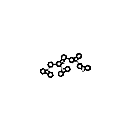 c1cc(-c2cc(-n3c4ccccc4c4ccccc43)c3sc4c(-c5ccc6c(c5)c5ccccc5n6-c5ccc6oc7ccccc7c6c5)cccc4c3c2)cc(-n2c3ccccc3c3ccccc32)c1